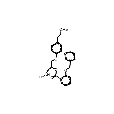 COCCc1ccc(OCC(CNC(C)C)OC(=O)c2ccccc2OCc2ccccc2)cc1